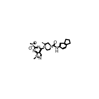 C[C@H]1CN(C(=O)Nc2ccc3c(c2)CCC3)CCN1c1nc(S(C)(=O)=O)nc2c1cnn2C